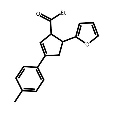 CCC(=O)C1C=C(c2ccc(C)cc2)CC1c1ccco1